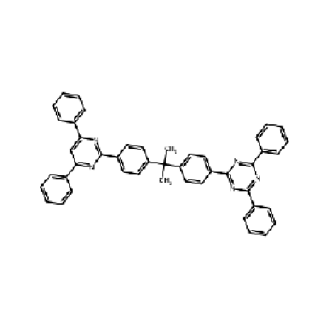 CC(C)(c1ccc(-c2nc(-c3ccccc3)cc(-c3ccccc3)n2)cc1)c1ccc(-c2nc(-c3ccccc3)nc(-c3ccccc3)n2)cc1